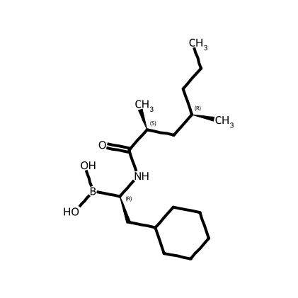 CCC[C@@H](C)C[C@H](C)C(=O)N[C@@H](CC1CCCCC1)B(O)O